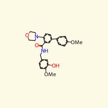 COc1ccc(-c2ccc(N3CCOCC3)c(C(=O)NCc3ccc(OC)c(O)c3)c2)cc1